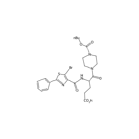 CCCCOC(=O)N1CCN(C(=O)C(CCC(=O)O)NC(=O)c2nc(-c3ccccc3)sc2Br)CC1